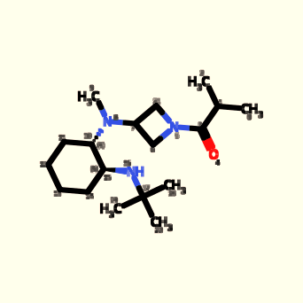 CC(C)C(=O)N1CC(N(C)[C@H]2CCCC[C@@H]2NC(C)(C)C)C1